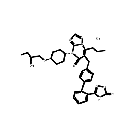 CCCc1c(Cc2ccc(-c3ccccc3-c3noc(=O)[nH]3)cc2)c(=O)n([C@H]2CC[C@H](OCC(O)CC)CC2)c2ncnn12.[KH]